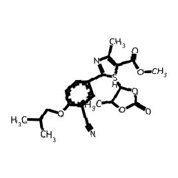 COC(=O)C1=C(C)N=C(c2ccc(OCC(C)C)c(C#N)c2)[SH]1C1OC(=O)OC1C